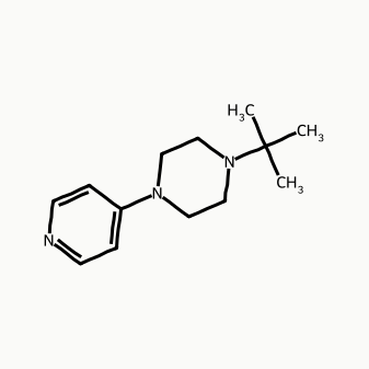 CC(C)(C)N1CCN(c2ccncc2)CC1